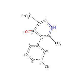 CCOC(=O)c1c[nH]c(C)c(-c2cccc(C#N)c2)c1=O